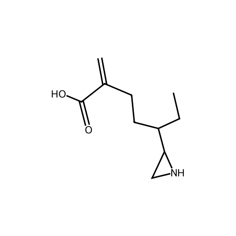 C=C(CCC(CC)C1CN1)C(=O)O